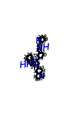 C1=CC2=CC(N(CCc3cccc(CNCc4ccccn4)c3)Cc3nc4ccccc4[nH]3)CCC2N=C1